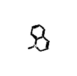 CN1C[C]=Cc2ccccc21